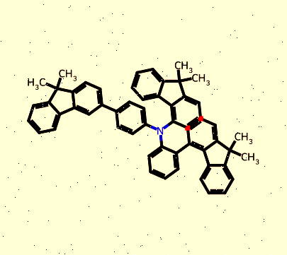 CC1(C)c2ccccc2-c2cc(-c3ccc(N(c4ccccc4-c4cccc5c4-c4ccccc4C5(C)C)c4cccc5c4-c4ccccc4C5(C)C)cc3)ccc21